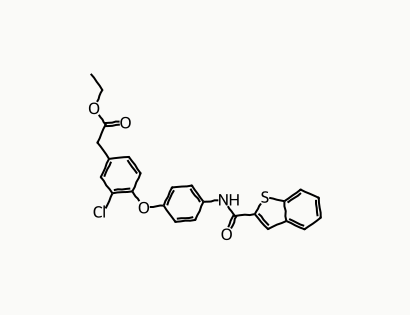 CCOC(=O)Cc1ccc(Oc2ccc(NC(=O)c3cc4ccccc4s3)cc2)c(Cl)c1